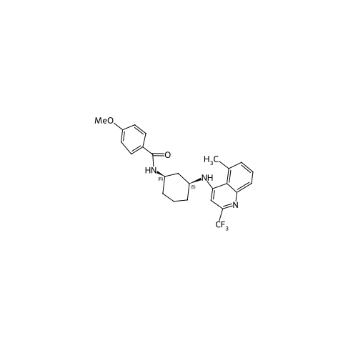 COc1ccc(C(=O)N[C@@H]2CCC[C@H](Nc3cc(C(F)(F)F)nc4cccc(C)c34)C2)cc1